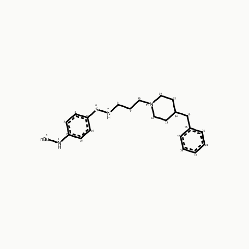 CCCCNc1ccc(SNCCCN2CCC(Cc3ccccc3)CC2)cc1